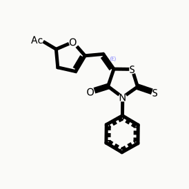 CC(=O)C1CC=C(/C=C2/SC(=S)N(c3ccccc3)C2=O)O1